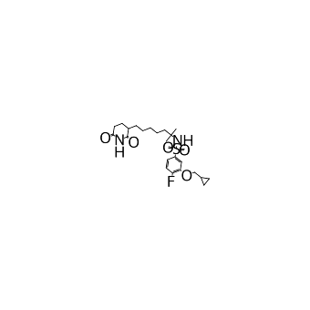 CC(C)(CCCCCC1CCC(=O)NC1=O)NS(=O)(=O)c1ccc(F)c(OCC2CC2)c1